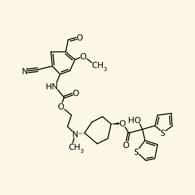 COc1cc(NC(=O)OCCN(C)[C@H]2CC[C@H](OC(=O)C(O)(c3cccs3)c3cccs3)CC2)c(C#N)cc1C=O